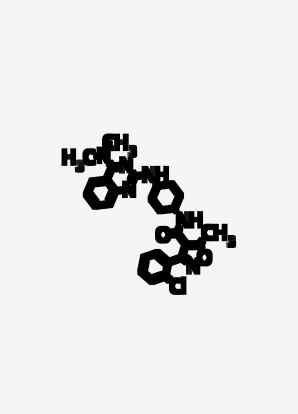 Cc1onc(-c2ccccc2Cl)c1C(=O)N[C@H]1CC[C@@H](Nc2nc(N(C)C)c3ccccc3n2)CC1